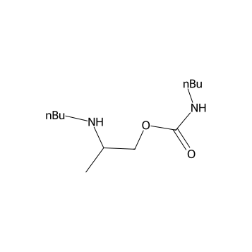 CCCCNC(=O)OCC(C)NCCCC